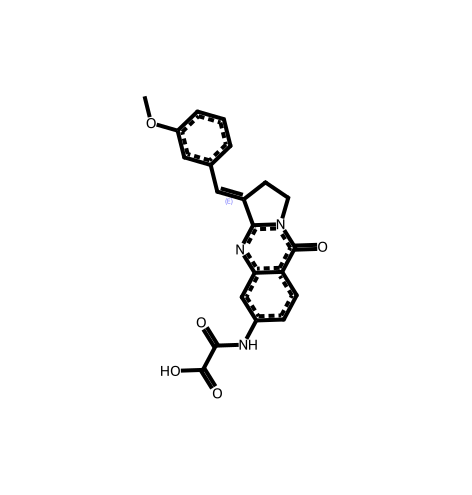 COc1cccc(/C=C2\CCn3c2nc2cc(NC(=O)C(=O)O)ccc2c3=O)c1